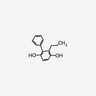 CCCc1c(O)ccc(O)c1-c1ccccc1